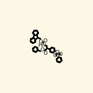 O=C(NCC(C(=O)OCc1ccccc1)c1ccc(OS(=O)(=O)c2ccccc2)cc1)OCC1c2ccccc2-c2ccccc21